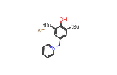 CC(C)(C)c1cc(C[n+]2ccccc2)cc(C(C)(C)C)c1O.[Br-]